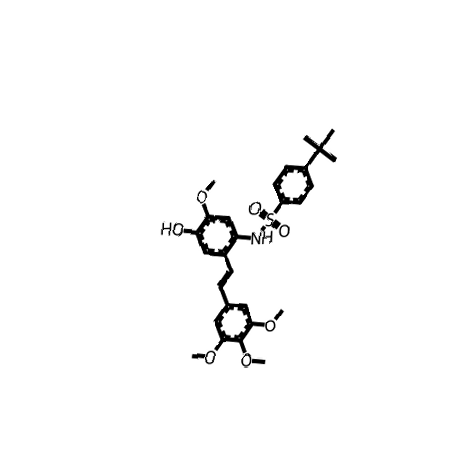 COc1cc(NS(=O)(=O)c2ccc(C(C)(C)C)cc2)c(C=Cc2cc(OC)c(OC)c(OC)c2)cc1O